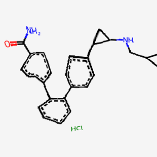 Cl.NC(=O)c1ccc(-c2ccccc2-c2ccc(C3CC3NCC3CC3)cc2)cc1